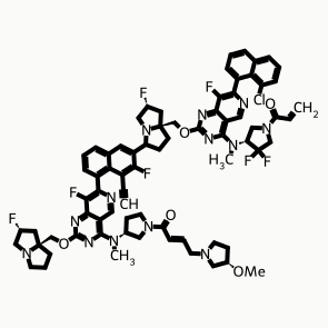 C#Cc1c(F)c(C2CC[C@@]3(COc4nc(N(C)[C@@H]5CN(C(=O)C=C)CC5(F)F)c5cnc(-c6cccc7cccc(Cl)c67)c(F)c5n4)C[C@@H](F)CN23)cc2cccc(-c3ncc4c(N(C)[C@@H]5CCN(C(=O)/C=C/CN6CC[C@H](OC)C6)C5)nc(OC[C@@]56CCCN5C[C@H](F)C6)nc4c3F)c12